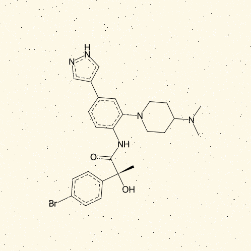 CN(C)C1CCN(c2cc(-c3cn[nH]c3)ccc2NC(=O)[C@](C)(O)c2ccc(Br)cc2)CC1